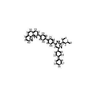 C=C/C=C(\C=C)c1nc(-c2ccc(-c3ccccc3)cc2)cc(-c2ccc(-c3ccc(-c4ccc5ccc6cccnc6c5n4)cc3)cc2)n1